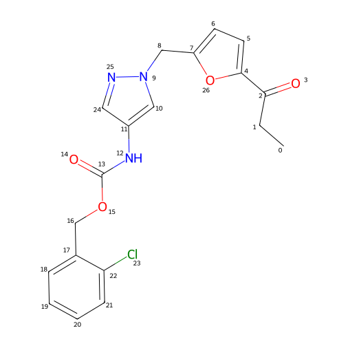 CCC(=O)c1ccc(Cn2cc(NC(=O)OCc3ccccc3Cl)cn2)o1